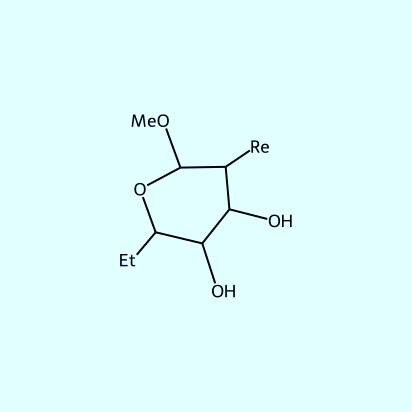 CCC1OC(OC)[CH]([Re])C(O)C1O